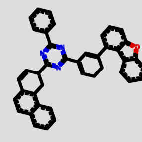 C1=CC(c2nc(C3=CCCC(c4cccc5oc6ccccc6c45)=C3)nc(-c3ccccc3)n2)Cc2c1ccc1ccccc21